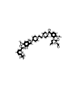 CCCN(C(=O)NC=O)c1cc(C(=O)N2CCN(CCN3CCC(n4cc5cc(NC(=O)c6cccc(C(F)(F)F)n6)c(OC)cc5n4)CC3)CC2)ccc1OC